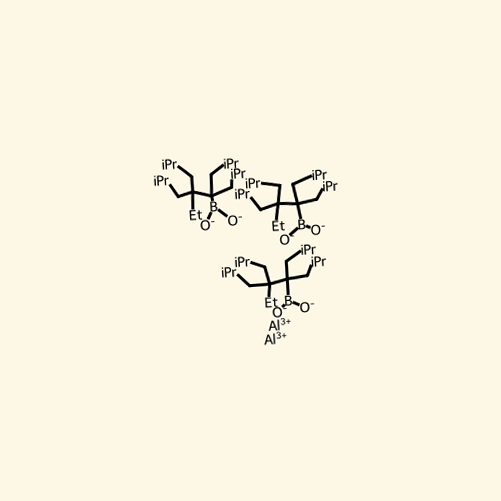 CCC(CC(C)C)(CC(C)C)C(CC(C)C)(CC(C)C)B([O-])[O-].CCC(CC(C)C)(CC(C)C)C(CC(C)C)(CC(C)C)B([O-])[O-].CCC(CC(C)C)(CC(C)C)C(CC(C)C)(CC(C)C)B([O-])[O-].[Al+3].[Al+3]